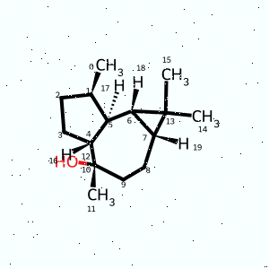 C[C@@H]1CC[C@@H]2[C@@H]1[C@H]1[C@@H](CC[C@]2(C)O)C1(C)C